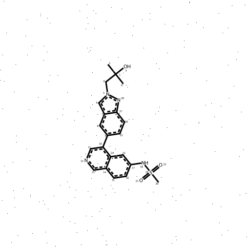 CC(C)(O)Cn1cc2cc(-c3cncc4ccc(NS(C)(=O)=O)cc34)ccc2n1